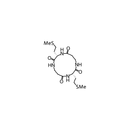 CSCC[C@@H]1NC(=O)CCNC(=O)[C@H](CCSC)NC(=O)CCNC1=O